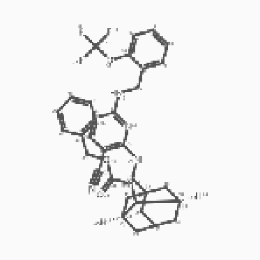 N#Cc1cnc(NCc2ccccc2OC(F)(F)F)nc1NCC12CC3C[C@H](C1)C(NC(=O)OCc1ccccc1)[C@@H](C3)C2